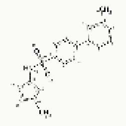 Cc1cccc(-c2ccc(S(=O)(=O)Nc3cc(C)on3)cc2)n1